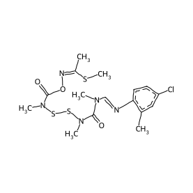 CSC(C)=NOC(=O)N(C)SSN(C)C(=O)N(C)C=Nc1ccc(Cl)cc1C